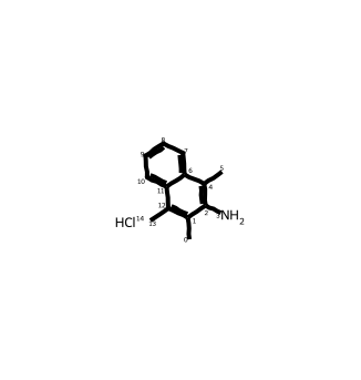 Cc1c(N)c(C)c2ccccc2c1C.Cl